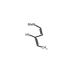 C/C=C(S)\C=C/NC